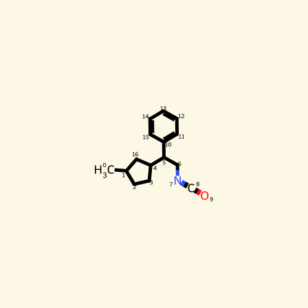 CC1CCC(C(CN=C=O)c2ccccc2)C1